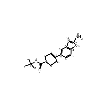 CC(C)(C)OC(=O)N1CC=C(c2ccc3sc(N)nc3c2)CC1